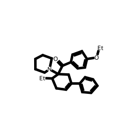 CCOc1ccc(C(=O)C2(N3CCCCC3)CC(c3ccccc3)=CCC2CC)cc1